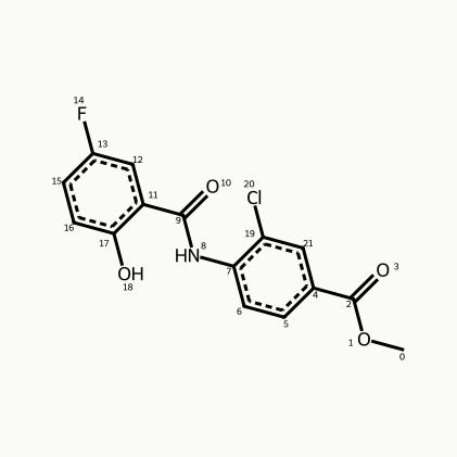 COC(=O)c1ccc(NC(=O)c2cc(F)ccc2O)c(Cl)c1